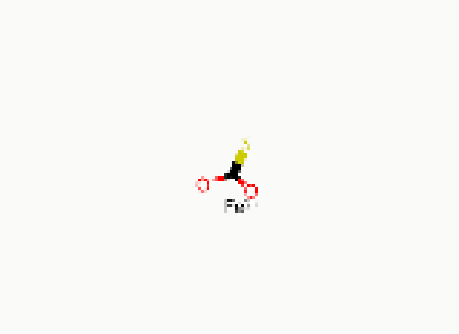 [Fe+2].[O-]C([O-])=S